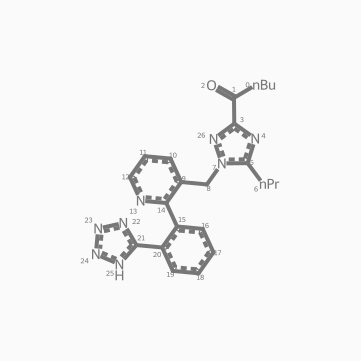 CCCCC(=O)c1nc(CCC)n(Cc2cccnc2-c2ccccc2-c2nnn[nH]2)n1